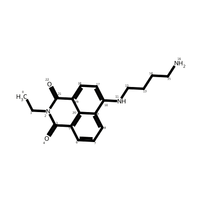 CCN1C(=O)c2cccc3c(NCCCCN)ccc(c23)C1=O